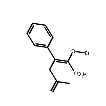 C=C(C)CC(=C(OCC)C(=O)O)c1ccccc1